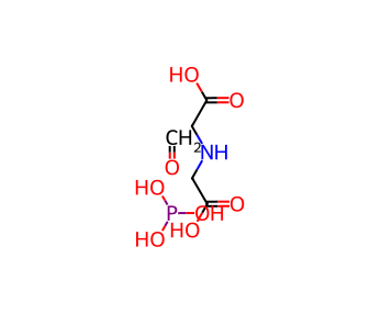 C=O.O=C(O)CNCC(=O)O.OP(O)O